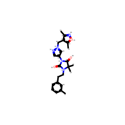 Cc1cccc(CCN2C(=O)N(c3cnn(Cc4c(C)noc4C)c3)C(=O)C2(C)C)c1